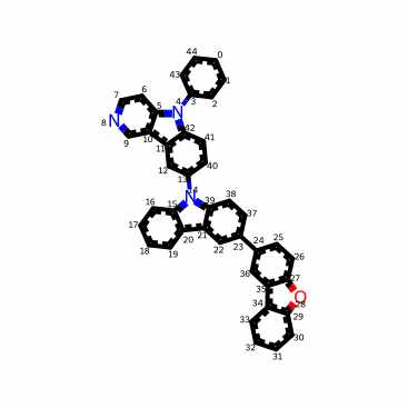 c1ccc(-n2c3ccncc3c3cc(-n4c5ccccc5c5cc(-c6ccc7oc8ccccc8c7c6)ccc54)ccc32)cc1